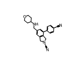 N#Cc1ccc(-c2cc(CNC3CCOCC3)cc3c2CN(C#N)C3)cc1